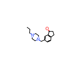 CCCN1CCN(Cc2ccc3c(c2)C(=O)CC3)CC1